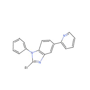 CCc1nc2cc(-c3ccccn3)ccc2n1-c1c[c]ccc1